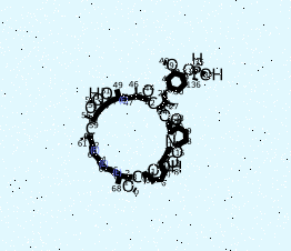 CO[C@H]1C[C@@H]2CC[C@@H](C)[C@@](O)(O2)C(=O)C(=O)N2CCCC[C@H]2C(=O)O[C@H]([C@H](C)C[C@@H]2CC[C@@H](O[PH](C)(C)O)[C@H](OC)C2)CC(=O)[C@H](C)/C=C(\C)[C@@H](O)[C@@H](OC)C(=O)[C@H](C)C[C@H](C)/C=C/C=C/C=C/1C